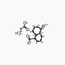 CCC(=O)[O-].O=C([O-])c1cccc2ccccc12.[Al+2]